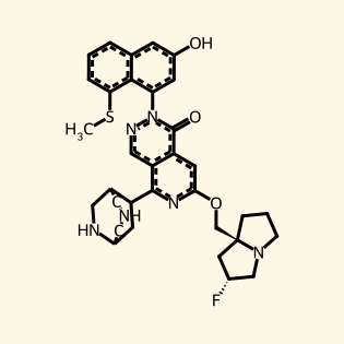 CSc1cccc2cc(O)cc(-n3ncc4c(C5CC6CNCC5CN6)nc(OC[C@@]56CCCN5C[C@H](F)C6)cc4c3=O)c12